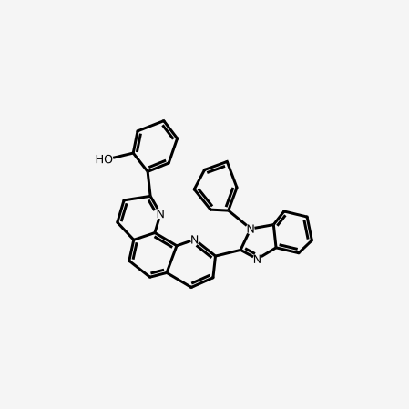 Oc1ccccc1-c1ccc2ccc3ccc(-c4nc5ccccc5n4-c4ccccc4)nc3c2n1